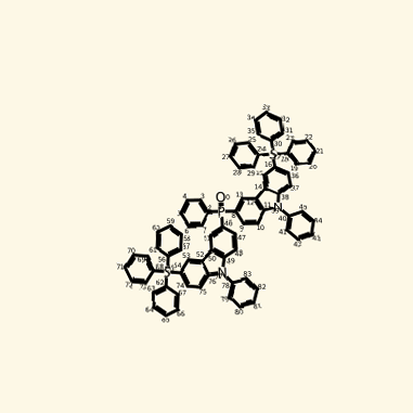 O=P(c1ccccc1)(c1ccc2c(c1)c1cc(S(c3ccccc3)(c3ccccc3)c3ccccc3)ccc1n2-c1ccccc1)c1ccc2c(c1)c1cc(S(c3ccccc3)(c3ccccc3)c3ccccc3)ccc1n2-c1ccccc1